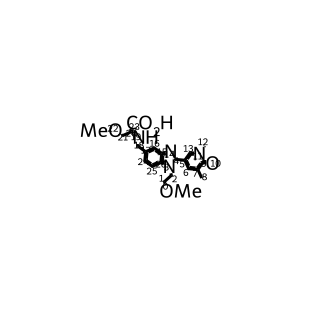 COCCn1c(-c2cc(C)c(=O)n(C)c2)nc2cc(CNC(COC)C(=O)O)ccc21